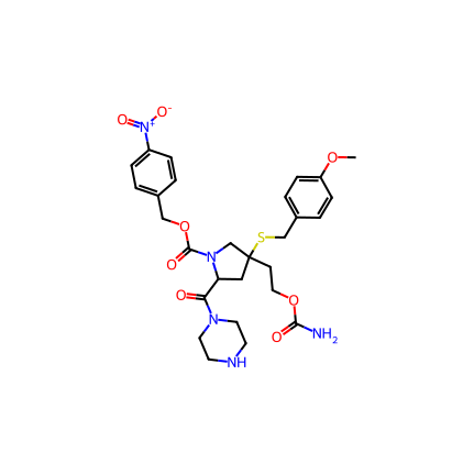 COc1ccc(CSC2(CCOC(N)=O)CC(C(=O)N3CCNCC3)N(C(=O)OCc3ccc([N+](=O)[O-])cc3)C2)cc1